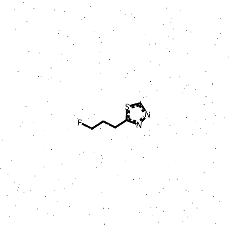 FCCCc1nn[c]s1